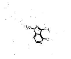 Cc1nn(C)c2ncnc(Cl)c12